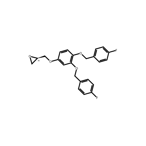 Fc1ccc(COc2ccc(OC[C@H]3CO3)cc2OCc2ccc(F)cc2)cc1